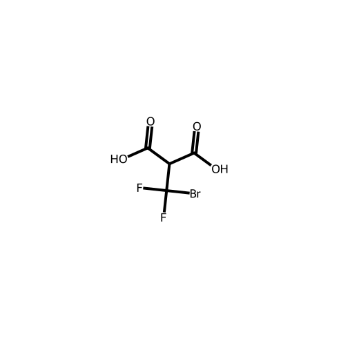 O=C(O)C(C(=O)O)C(F)(F)Br